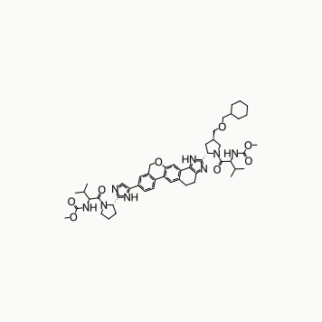 COC(=O)N[C@H](C(=O)N1CCC[C@H]1c1ncc(-c2ccc3c(c2)COc2cc4c(cc2-3)CCc2nc([C@@H]3C[C@@H](COCC5CCCCC5)CN3C(=O)[C@@H](NC(=O)OC)C(C)C)[nH]c2-4)[nH]1)C(C)C